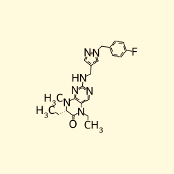 CC[C@H]1C(=O)N(CC)c2cnc(NCc3cnn(Cc4ccc(F)cc4)c3)nc2N1C